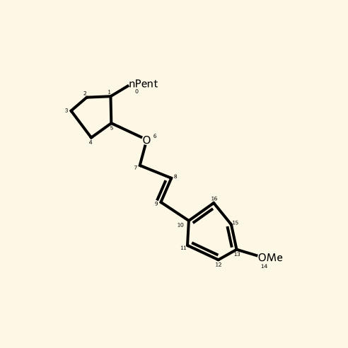 CCCCCC1CCCC1OCC=Cc1ccc(OC)cc1